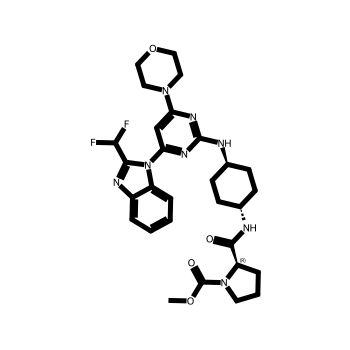 COC(=O)N1CCC[C@@H]1C(=O)N[C@H]1CC[C@H](Nc2nc(N3CCOCC3)cc(-n3c(C(F)F)nc4ccccc43)n2)CC1